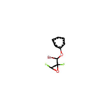 FC1OC1(F)C(Br)Oc1ccccc1